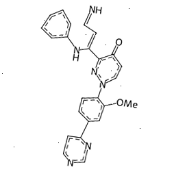 COc1cc(-c2ccncn2)ccc1-n1ccc(=O)c(/C(=C/C=N)Nc2ccccc2)n1